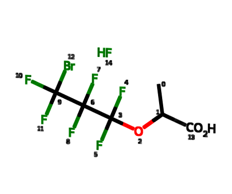 CC(OC(F)(F)C(F)(F)C(F)(F)Br)C(=O)O.F